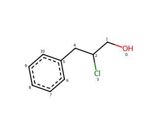 OCC(Cl)Cc1ccccc1